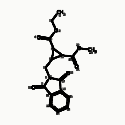 CCOC(=O)C1C(CN2C(=O)c3ccccc3C2=O)C1C(=O)OC